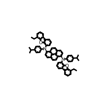 CCc1cccc2c1oc1c(N(c3ccc(C(C)C)cc3)c3ccc4ccc5c(N(c6ccc(C(C)C)cc6)c6cccc7c6oc6c(CC)cccc67)ccc6ccc3c4c65)cccc12